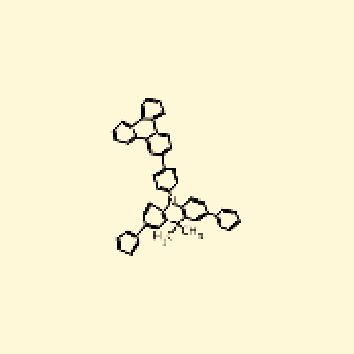 CC1(C)c2cc(-c3ccccc3)ccc2N(c2ccc(-c3ccc4c5ccccc5c5ccccc5c4c3)cc2)c2ccc(-c3ccccc3)cc21